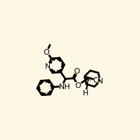 COc1ccc(C(Nc2ccccc2)C(=O)O[C@H]2CN3CCC2CC3)cn1